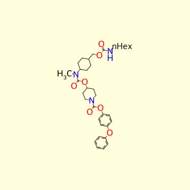 CCCCCCNC(=O)OCC1CCC(N(C)C(=O)OC2CCN(C(=O)Oc3ccc(Oc4ccccc4)cc3)CC2)CC1